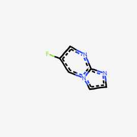 Fc1cnc2nccn2c1